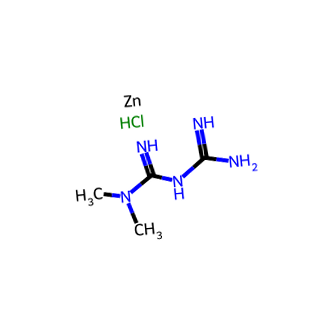 CN(C)C(=N)NC(=N)N.Cl.[Zn]